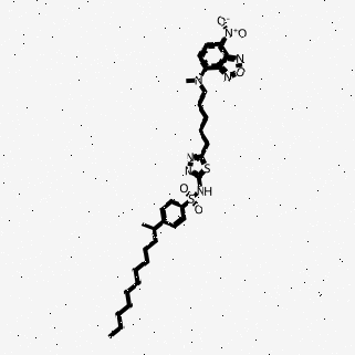 CCCCCCCCCCC(C)C1=CCC(S(=O)(=O)Nc2nnc(CCCCCN(C)c3ccc([N+](=O)[O-])c4nonc34)s2)C=C1